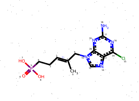 C/C(=C\CCP(=O)(O)O)Cn1cnc2c(Cl)nc(N)nc21